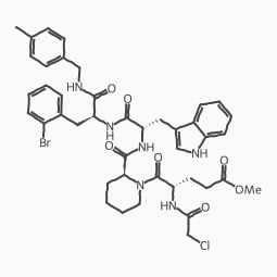 COC(=O)CC[C@H](NC(=O)CCl)C(=O)N1CCCC[C@H]1C(=O)N[C@@H](Cc1c[nH]c2ccccc12)C(=O)N[C@@H](Cc1ccccc1Br)C(=O)NCc1ccc(C)cc1